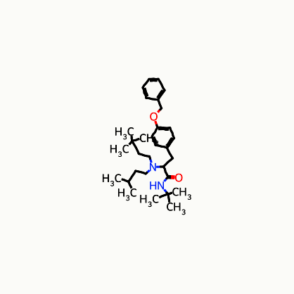 CC(C)CCN(CCC(C)(C)C)C(Cc1ccc(OCc2ccccc2)cc1)C(=O)NC(C)(C)C